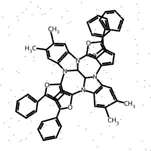 Cc1cc2c(cc1C)N(c1ccc(-c3ccccc3)o1)C(C1N(c3ccc(-c4ccccc4)o3)c3cc(C)c(C)cc3N1c1ccc(-c3ccccc3)o1)N2c1ccc(-c2ccccc2)o1